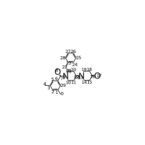 Cc1cc(C)cc(C(=O)N2CC[C@H](N3CCC(=O)CC3)C[C@H]2Cc2ccccc2)c1